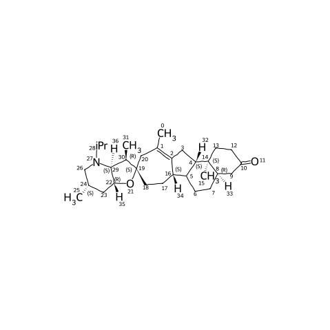 CC1=C2C[C@H]3C(CC[C@@H]4CC(=O)CC[C@@]43C)[C@@H]2CC[C@@]2(C1)O[C@@H]1C[C@H](C)CN(C(C)C)[C@H]1[C@H]2C